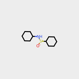 [O-][S+](NC1CCCCC1)C1CCCCC1